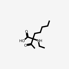 CCCCCC(NCC)(C(C)=O)C(=O)O